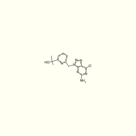 CC(C)(O)c1cccc(Cn2nnc3c(Cl)nc(N)nc32)n1